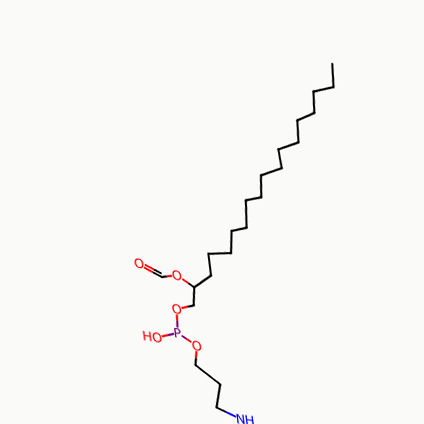 CCCCCCCCCCCCCCCCC(COP(O)OCCCNC)OC=O